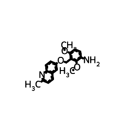 COc1ccc(N)c(OC)c1COc1ccc2nc(C)ccc2c1